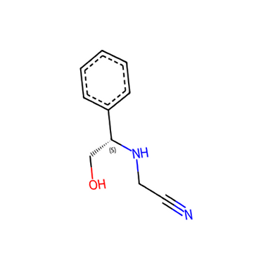 N#CCN[C@H](CO)c1ccccc1